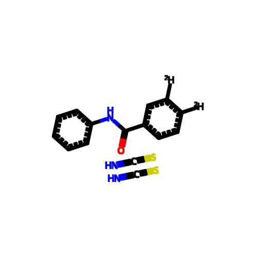 N=C=S.N=C=S.[2H]c1ccc(C(=O)Nc2ccccc2)cc1[2H]